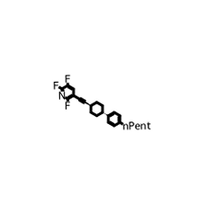 CCCCCc1ccc([C@H]2CC[C@H](C#Cc3cc(F)c(F)nc3F)CC2)cc1